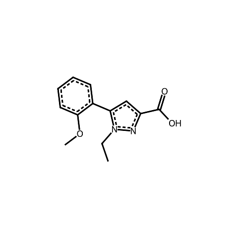 CCn1nc(C(=O)O)cc1-c1ccccc1OC